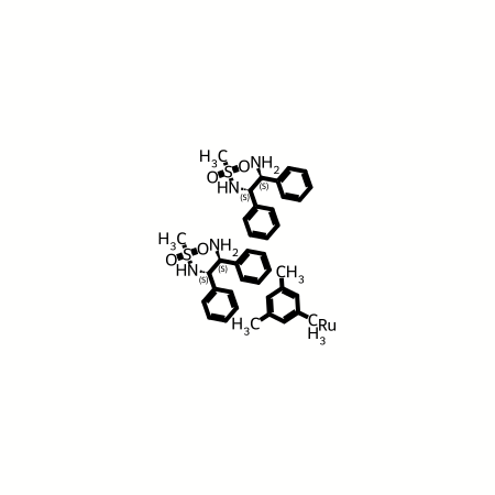 CS(=O)(=O)N[C@@H](c1ccccc1)[C@@H](N)c1ccccc1.CS(=O)(=O)N[C@@H](c1ccccc1)[C@@H](N)c1ccccc1.Cc1cc(C)cc(C)c1.[Ru]